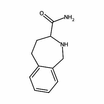 NC(=O)C1CCc2ccccc2CN1